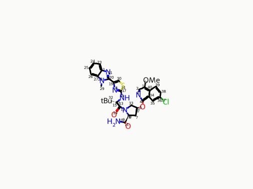 COc1cnc(O[C@@H]2C[C@@H](C(N)=O)N(C(=O)[C@@H](Nc3nc(-c4nc5ccccc5n4C)cs3)C(C)(C)C)C2)c2cc(Cl)ccc12